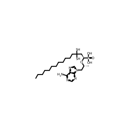 CCCCCCCCCCCCC(S)(S)C[C@H](O[C@H](C)Cn1cnc2c(N)ncnc21)P(=O)(O)O